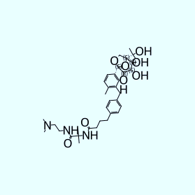 Cc1ccc([C@]23OC[C@](C(C)(C)O)(O2)[C@@H](O)[C@H](O)[C@H]3O)cc1Cc1ccc(CCCC(=O)NC(C)(C)C(=O)NCCN(C)C)cc1